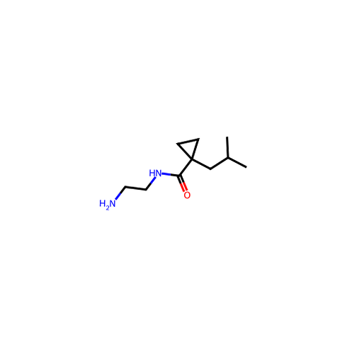 CC(C)CC1(C(=O)NCCN)CC1